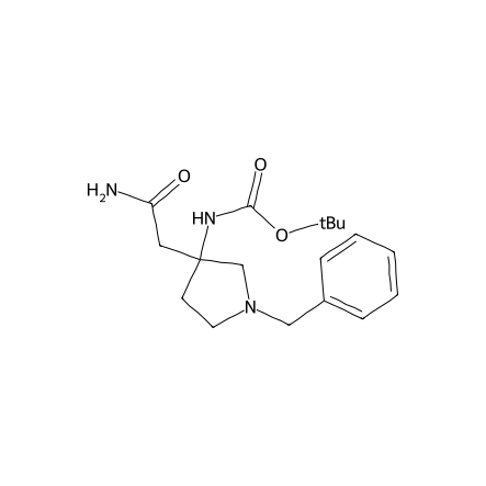 CC(C)(C)OC(=O)NC1(CC(N)=O)CCN(Cc2ccccc2)C1